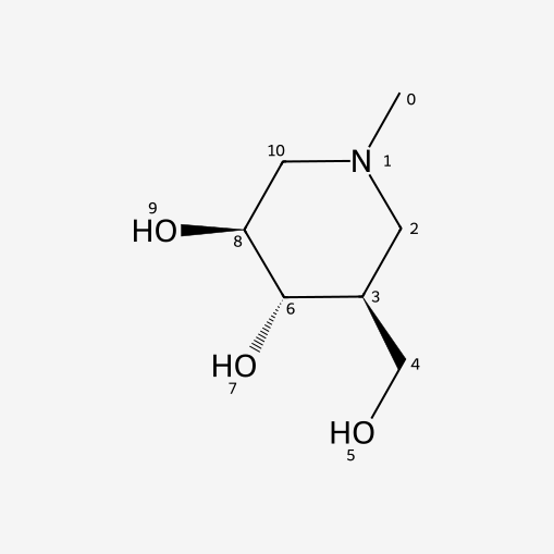 CN1C[C@@H](CO)[C@H](O)[C@@H](O)C1